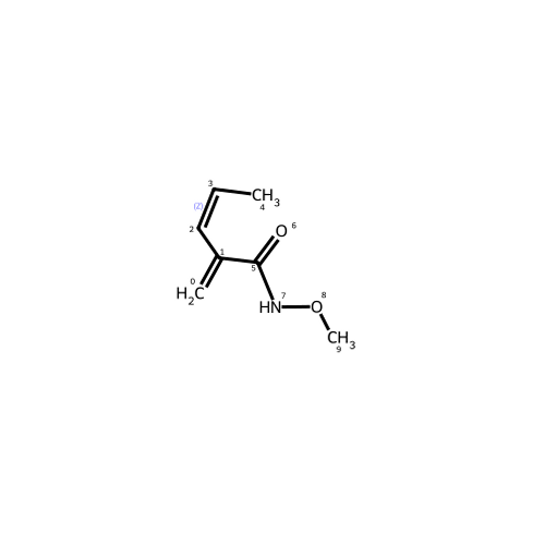 C=C(/C=C\C)C(=O)NOC